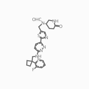 O=CN(Cc1cnc(-c2ccc(NCC3(c4ncccc4F)CCC3)nn2)s1)[C@H]1CCC(=O)NC1